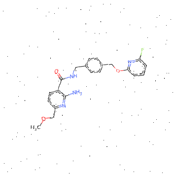 COCc1ccc(C(=O)NCc2ccc(COc3cccc(F)n3)cc2)c(N)n1